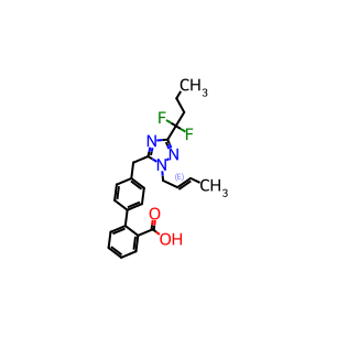 C/C=C/Cn1nc(C(F)(F)CCC)nc1Cc1ccc(-c2ccccc2C(=O)O)cc1